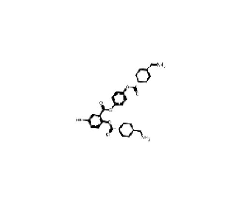 NC[C@H]1CC[C@H](C(=O)Oc2ccc(OC(=O)c3cc(O)ccc3OC(=O)[C@H]3CC[C@H](CN)CC3)cc2)CC1